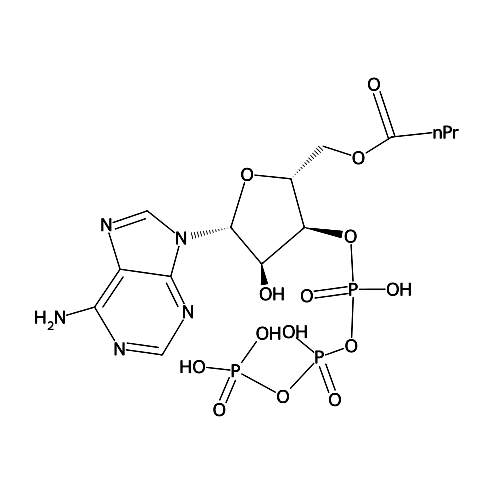 CCCC(=O)OC[C@H]1O[C@@H](n2cnc3c(N)ncnc32)[C@H](O)[C@@H]1OP(=O)(O)OP(=O)(O)OP(=O)(O)O